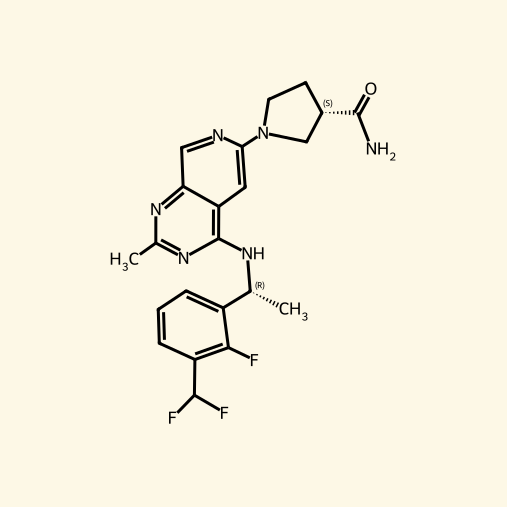 Cc1nc(N[C@H](C)c2cccc(C(F)F)c2F)c2cc(N3CC[C@H](C(N)=O)C3)ncc2n1